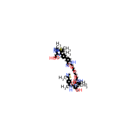 Cc1ncsc1-c1ccc([C@H](C)NC(=O)[C@@H]2C[C@@H](O)CN2C(=O)[C@@H](NC(=O)COCCOCCOCC(=O)Nc2ccc(-c3ccc(C4=N[C@@H](CC(=O)O)c5nnc(C)n5-c5sc(C)c(C)c54)cc3)cc2C#N)C(C)(C)C)cc1